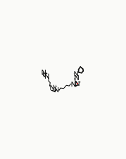 CN(/N=C/C1N(C)C=CN1CCCCCCn1cc[n+](CCCCn2ccnc2)c1)c1ccccc1